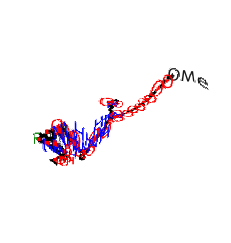 COCCOCCOCCOCCOCCOCCOCCOCCNC(=O)[C@H](CCC(=O)NCC(=O)NCC(=O)N[C@@H](Cc1ccccc1)C(=O)NCC(=O)NCO[C@@H](C)C(=O)N[C@H]1CCc2c(C)c(F)cc3nc4c(c1c23)Cn1c-4cc2c(c1=O)COC(=O)[C@]2(O)CC1CC1)NC(=O)CCCCCN1C(=O)C=CC1=O